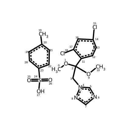 COC(Cn1cncn1)(OC)c1ccc(Cl)cc1Cl.Cc1ccc(S(=O)(=O)O)cc1